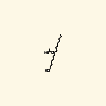 CC(=O)O.CCCCCCCCCCCCCCC=CO